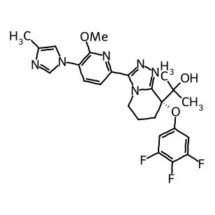 COc1nc(-c2nnc3n2CCC[C@]3(Oc2cc(F)c(F)c(F)c2)C(C)(C)O)ccc1-n1cnc(C)c1